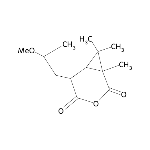 COC(C)CC1C(=O)OC(=O)C2(C)C1C2(C)C